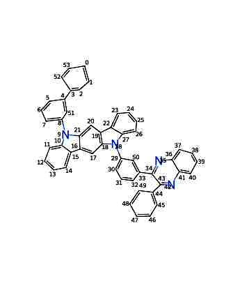 c1ccc(-c2cccc(-n3c4ccccc4c4cc5c(cc43)c3ccccc3n5-c3cccc(-c4nc5ccccc5nc4-c4ccccc4)c3)c2)cc1